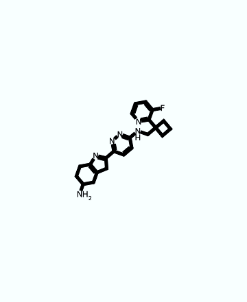 NC1CCC2=C(CC(c3ccc(NCC4(c5ncccc5F)CCC4)nn3)=N2)C1